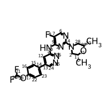 C[C@@H]1CN(c2ncc(F)c(Nc3cc(-c4ccc(OC(F)F)cc4)cnn3)n2)C[C@H](C)O1